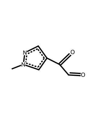 Cn1cc(C(=O)C=O)cn1